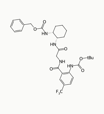 CC(C)(C)OC(=O)Nc1ccc(C(F)(F)F)cc1C(=O)NCC(=O)N[C@H]1CCCC[C@H]1NC(=O)OCc1ccccc1